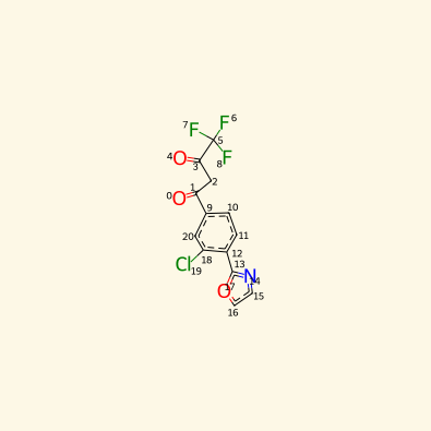 O=C(CC(=O)C(F)(F)F)c1ccc(-c2ncco2)c(Cl)c1